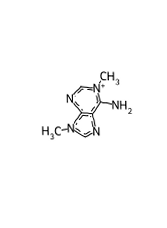 Cn1cnc2c(N)[n+](C)cnc21